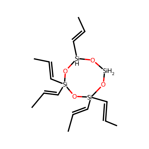 CC=C[SiH]1O[SiH2]O[Si](C=CC)(C=CC)O[Si](C=CC)(C=CC)O1